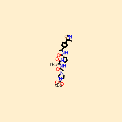 Cc1ncsc1-c1ccc([C@H](C)NC(=O)[C@@H]2CCCN2C(=O)[C@@H](NC(=O)CN2CCN(C(=O)OC(C)(C)C)CC2)C(C)(C)C)cc1